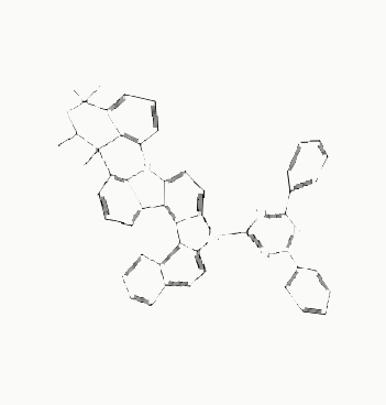 CC1CC(C)(C)c2cccc3c2C1(C)c1cccc2c4c5c6c7ccccc7ccc6n(-c6nc(-c7ccccc7)nc(-c7ccccc7)n6)c5ccc4n-3c12